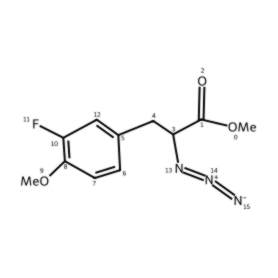 COC(=O)C(Cc1ccc(OC)c(F)c1)N=[N+]=[N-]